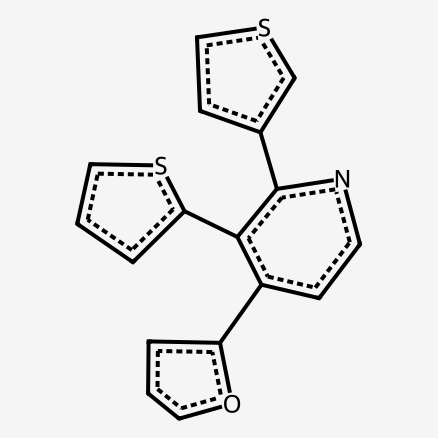 c1coc(-c2ccnc(-c3ccsc3)c2-c2cccs2)c1